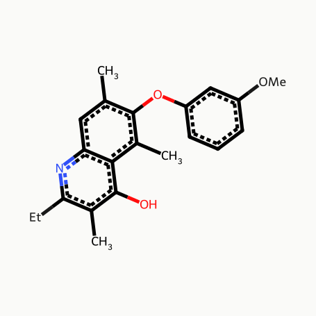 CCc1nc2cc(C)c(Oc3cccc(OC)c3)c(C)c2c(O)c1C